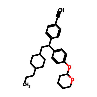 C#Cc1ccc(C(CC2CCC(CCC)CC2)c2ccc(OC3CCCCO3)cc2)cc1